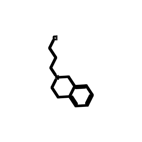 ClCCCN1CCc2ccccc2C1